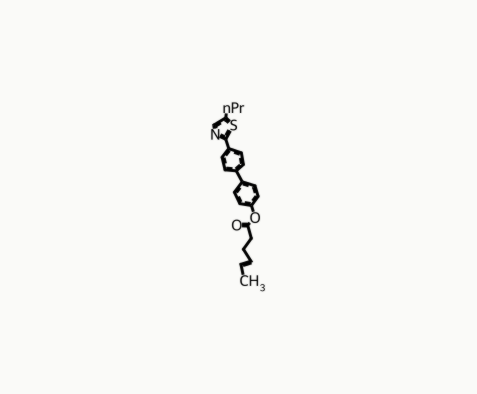 CC=CCCC(=O)Oc1ccc(-c2ccc(-c3ncc(CCC)s3)cc2)cc1